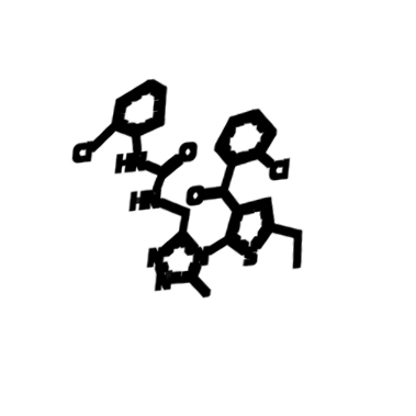 CCc1cc(C(=O)c2ccccc2Cl)c(-n2c(C)nnc2CNC(=O)Nc2ccccc2Cl)s1